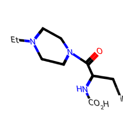 CCN1CCN(C(=O)C(CC(C)C)NC(=O)O)CC1